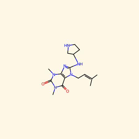 CC(C)=CCn1c(NC2CCNC2)nc2c1c(=O)n(C)c(=O)n2C